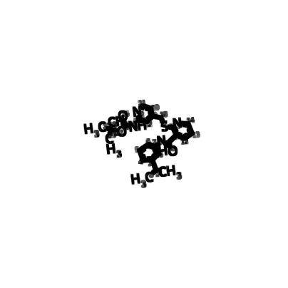 CC(C)c1cccc(NC(=O)c2cccnc2SCc2ccnc(NC(=O)OC(C)(C)C)c2)c1